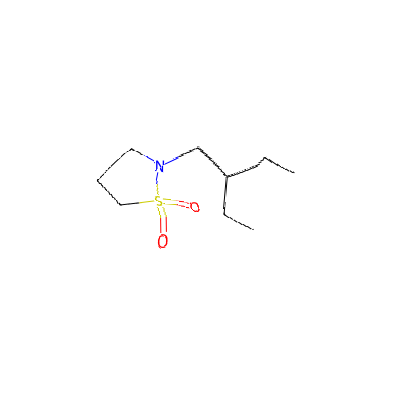 CCC(CC)CN1CCCS1(=O)=O